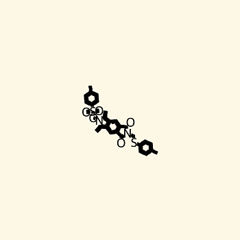 C=c1c2cc3c(cc2c(=C)n1OS(=O)(=O)c1ccc(C)cc1)C(=O)N(CSc1ccc(C)cc1)C3=O